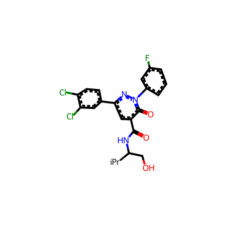 CC(C)C(CO)NC(=O)c1cc(-c2ccc(Cl)c(Cl)c2)nn(-c2cccc(F)c2)c1=O